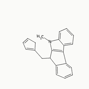 Cn1c2c(c3ccccc31)-c1ccccc1C2CC1=CC=CC1